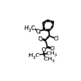 COc1ccccc1C(Cl)C(=O)C(=O)OC(C)(C)C